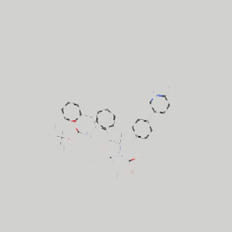 Cc1ccc(-c2ccc(C[C@@]3(Cc4ccccc4)[C@H](C[C@H](Cc4ccccc4)NC(=O)OC(C)(C)C)OC(C)(C)N3C(=O)O)cc2)cn1